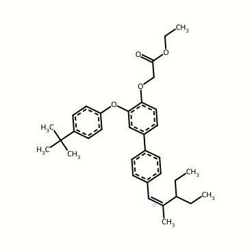 CCOC(=O)COc1ccc(-c2ccc(/C=C(/C)C(CC)CC)cc2)cc1Oc1ccc(C(C)(C)C)cc1